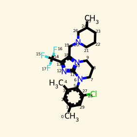 Cc1cc(C)c(N2CCCn3c2nc(C(F)(F)F)c3CN2CCCC(C)C2)c(Cl)c1